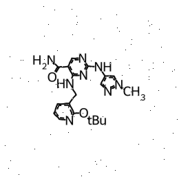 Cn1cc(Nc2ncc(C(N)=O)c(NCc3cccnc3OC(C)(C)C)n2)cn1